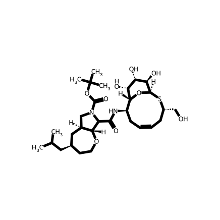 CC(C)C[C@@H]1CCO[C@H]2C(C(=O)N[C@@H]3C/C=C\C[C@@H](CO)S[C@H]4O[C@H]3[C@H](O)[C@H](O)[C@H]4O)N(C(=O)OC(C)(C)C)C[C@@H]2C1